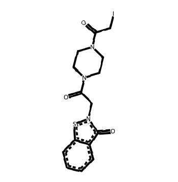 O=C(CI)N1CCN(C(=O)Cn2sc3ccccc3c2=O)CC1